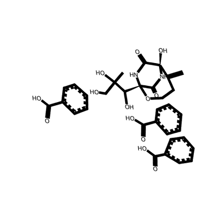 C=C1CCO[C@]2(C(O)C(C)(O)CO)NC(=O)[C@@]1(O)NC2=O.O=C(O)c1ccccc1.O=C(O)c1ccccc1.O=C(O)c1ccccc1